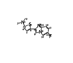 CN(C)c1ccc(-c2cn3cc(F)ccc3n2)s1